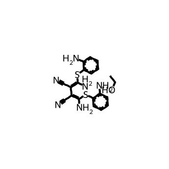 CCO.N#CC(=C(N)Sc1ccccc1N)C(C#N)=C(N)Sc1ccccc1N